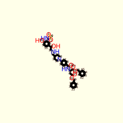 CS(=O)(=O)Nc1cc([C@H](O)CNCC2CCN(c3ccc(C(=O)N[C@H](CC(=O)OCc4ccccc4)C(=O)OCc4ccccc4)cc3)CC2)ccc1O